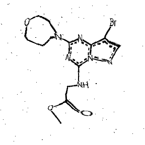 COC(=O)CNc1nc(N2CCOCC2)nc2c(Br)cnn12